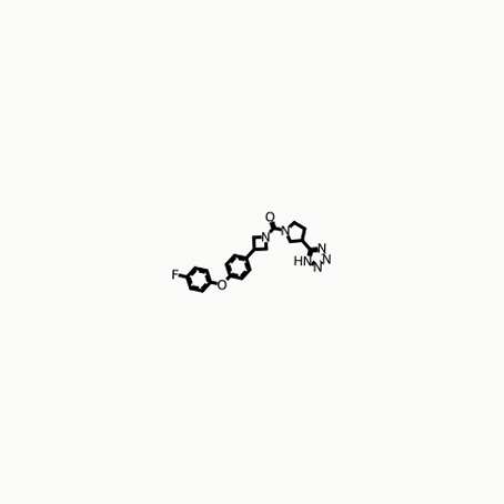 O=C(N1CC(c2ccc(Oc3ccc(F)cc3)cc2)C1)N1CCC(c2nnn[nH]2)C1